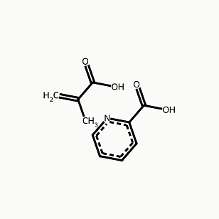 C=C(C)C(=O)O.O=C(O)c1ccccn1